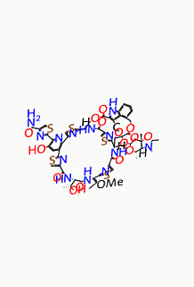 CO/C(C)=C1/NC(=O)[C@H]([C@@H](C)O)NC(=O)c2csc(n2)-c2cc(O)c(-c3nc(C(N)=O)cs3)nc2-c2csc(n2)[C@@H]2COC(=O)c3[nH]c4cccc5c4c3COC([C@H](O[C@H]3C[C@]4(C)OC(C)N(C)[C@@H]4[C@H](C)O3)C(=O)OC5)[C@H](NC(=O)c3csc1n3)c1nc(cs1)C(=O)N2